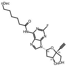 C#C[C@]1(CO)O[C@@H](n2cnc3c(NC(=O)CCCCCCCCCCCCCCC)nc(F)nc32)C[C@@H]1O